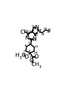 COC(=O)C1(OC)CCC(c2nc(Cl)c3cnn(CCF)c3n2)CC1